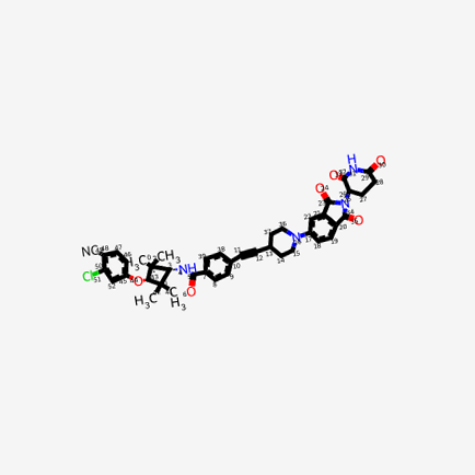 CC1(C)[C@H](NC(=O)c2ccc(C#CC3CCN(c4ccc5c(c4)C(=O)N(C4CCC(=O)NC4=O)C5=O)CC3)cc2)C(C)(C)[C@H]1Oc1ccc(C#N)c(Cl)c1